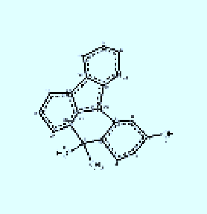 CC1(C)c2ccc(O)cc2-n2c3ncccc3c3cccc1c32